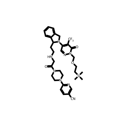 C[Si](C)(C)CCOCn1ncc(N2Cc3ccccc3C2CCNCC(=O)N2CCN(c3ccc(C#N)cn3)CC2)c(C(F)(F)F)c1=O